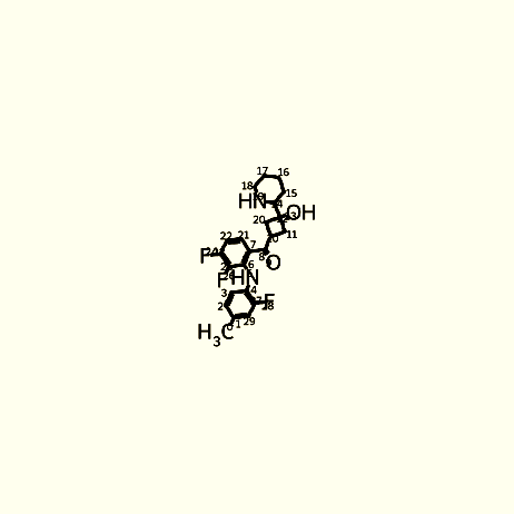 Cc1ccc(Nc2c(C(=O)C3CC(O)(C4CCCCN4)C3)ccc(F)c2F)c(F)c1